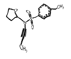 CC#CN(C1CCCO1)S(=O)(=O)c1ccc(C)cc1